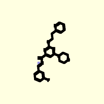 Fc1cccc(/C=N/Nc2cc(N3CCOCC3)nc(OCCc3ccccn3)n2)c1